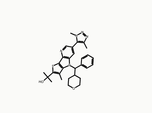 Cc1nnn(C)c1-c1cnc2c3sc(C(C)(C)O)c(C)c3n(C(c3ccccc3)C3CCOCC3)c2c1